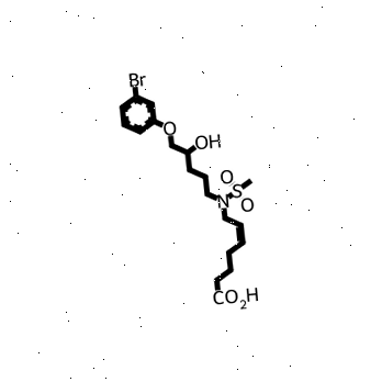 CS(=O)(=O)N(C/C=C\CCCC(=O)O)CCCC(O)COc1cccc(Br)c1